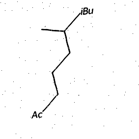 CCC(C)C(C)CCCC(C)=O